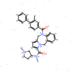 Cc1cc(C(=O)N2Cc3ccc(C(=O)N(C)C4CCN(C)C4)n3Cc3ccccc32)ccc1-c1ccccc1